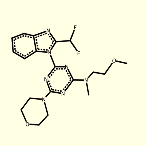 COCCN(C)c1nc(N2CCOCC2)nc(-n2c(C(F)F)nc3ccccc32)n1